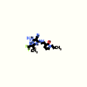 CCCn1cccc(CCNc2nc3c(CC)c(C(F)F)nn3c(N)c2C#N)c1=O